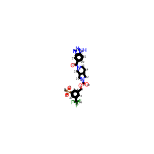 CS(=O)(=O)c1cc(COC(=O)N2CC3CCN(C(=O)c4ccc5[nH]nnc5c4)CC3C2)cc(C(F)(F)F)c1